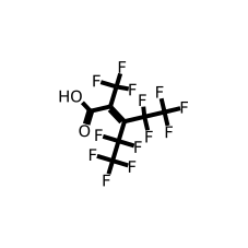 O=C(O)C(=C(C(F)(F)C(F)(F)F)C(F)(F)C(F)(F)F)C(F)(F)F